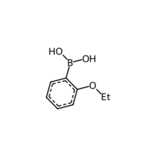 CCOc1ccccc1B(O)O